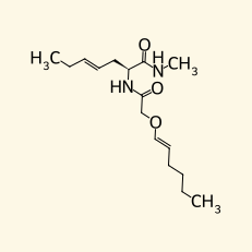 CC/C=C/C[C@H](NC(=O)CO/C=C/CCCC)C(=O)NC